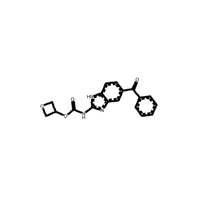 O=C(Nc1nc2cc(C(=O)c3ccccc3)ccc2[nH]1)OC1COC1